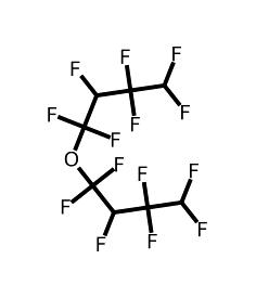 FC(F)C(F)(F)C(F)C(F)(F)OC(F)(F)C(F)C(F)(F)C(F)F